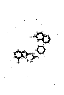 CC(C[C@H]1CC[C@@H](c2ccnc3ccc(F)cc32)CC1)Nc1nc2cccc(F)c2o1